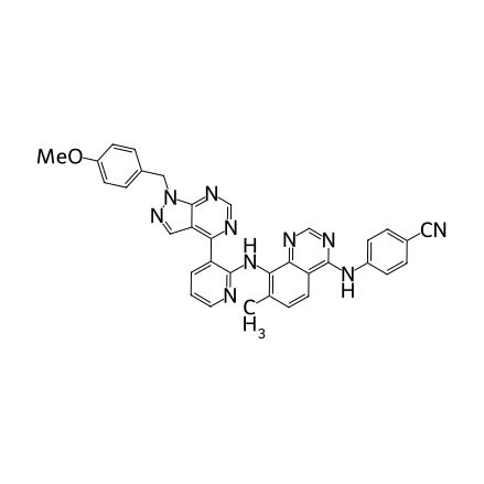 COc1ccc(Cn2ncc3c(-c4cccnc4Nc4c(C)ccc5c(Nc6ccc(C#N)cc6)ncnc45)ncnc32)cc1